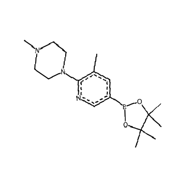 Cc1cc(B2OC(C)(C)C(C)(C)O2)cnc1N1CCN(C)CC1